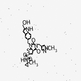 Cn1cc(Cn2c(=O)c3cc(S(=O)(=O)NC4(C)CC4)sc3n(Cc3ccc4[nH]c(CO)cc4c3)c2=O)cn1